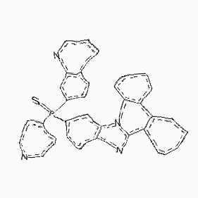 S=P(c1ccncc1)(c1ccc2cccnc2c1)c1ccc2nc3c4ccccc4c4ccccc4n3c2c1